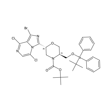 CC(C)(C)OC(=O)N1C[C@H](c2nc(Br)c3c(Cl)ncc(Cl)n23)OC[C@H]1CO[Si](c1ccccc1)(c1ccccc1)C(C)(C)C